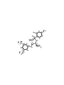 Cc1cc(F)ccc1C(C)(O)CC(N)OCc1cc(C(F)(F)F)cc(C(F)(F)F)c1